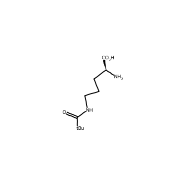 CC(C)(C)C(=O)NCCC[C@H](N)C(=O)O